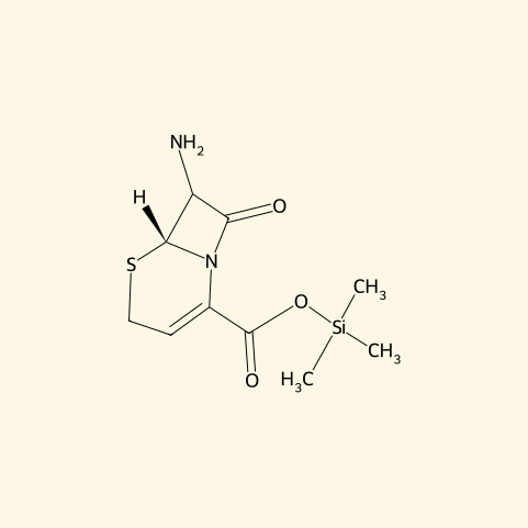 C[Si](C)(C)OC(=O)C1=CCS[C@@H]2C(N)C(=O)N12